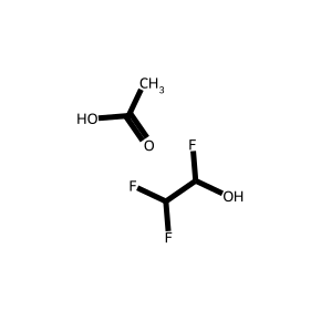 CC(=O)O.OC(F)C(F)F